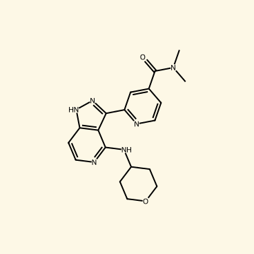 CN(C)C(=O)c1ccnc(-c2n[nH]c3ccnc(NC4CCOCC4)c23)c1